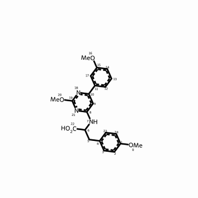 COc1ccc(CC(Nc2cc(-c3cccc(OC)c3)nc(OC)n2)C(=O)O)cc1